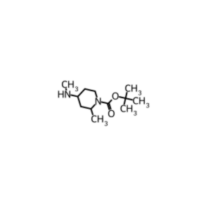 CNC1CCN(C(=O)OC(C)(C)C)C(C)C1